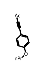 CCCOc1ccc(C#CC(C)=O)cc1